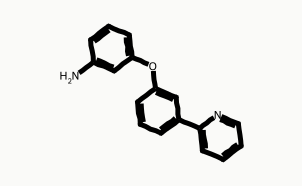 Nc1cccc(Oc2cccc(-c3ccccn3)c2)c1